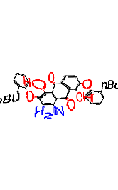 CCCCc1ccccc1Oc1ccc2c(c1O)C(=O)c1c(N)cc(Oc3ccccc3CCCC)c(O)c1C2=O